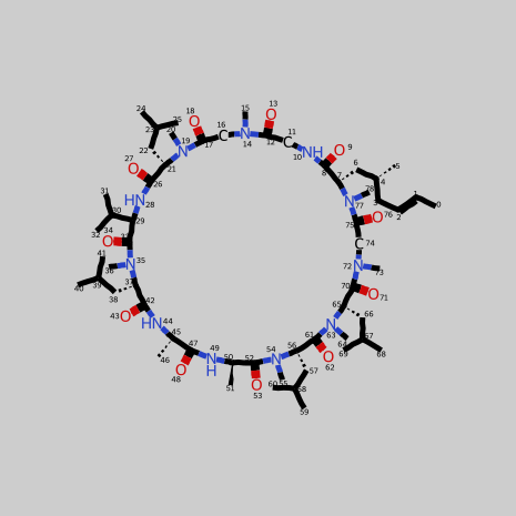 C/C=C/C[C@@H](C)C[C@H]1C(=O)NCC(=O)N(C)CC(=O)N(C)[C@@H](CC(C)C)C(=O)NC(C(C)C)C(=O)N(C)[C@@H](CC(C)C)C(=O)N[C@@H](C)C(=O)N[C@H](C)C(=O)N(C)[C@@H](CC(C)C)C(=O)N(C)[C@@H](CC(C)C)C(=O)N(C)CC(=O)N1C